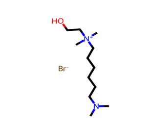 CN(C)CCCCCC[N+](C)(C)CCO.[Br-]